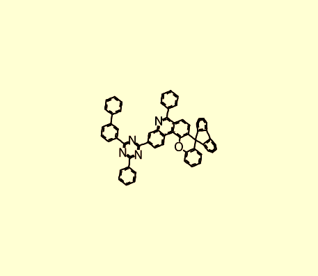 c1ccc(-c2cccc(-c3nc(-c4ccccc4)nc(-c4ccc5c(c4)nc(-c4ccccc4)c4ccc6c(c45)Oc4ccccc4C64c5ccccc5-c5ccccc54)n3)c2)cc1